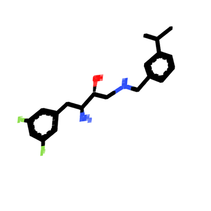 CC(C)c1cccc(CNC[C@@H](O)[C@@H](N)Cc2cc(F)cc(F)c2)c1